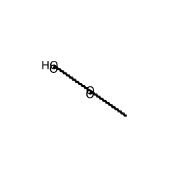 CCCCCCCCC=CCCCCCCCCCCCCCC(=O)OCCCCCCCCCCCCCCCCCCCCCCC(=O)O